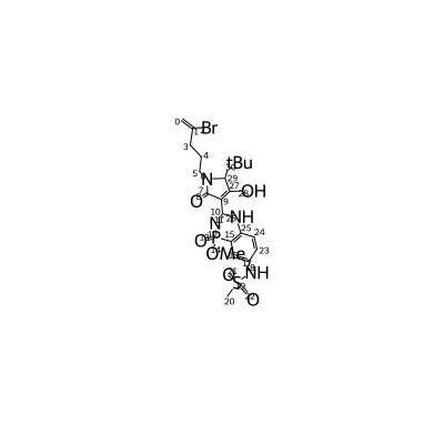 C=C(Br)CCCN1C(=O)C(C2=NP(=O)(OC)c3cc(NS(C)(=O)=O)ccc3N2)=C(O)C1C(C)(C)C